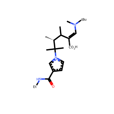 CCNC(=O)c1ccn(C(C)(C)[C@H](C)C(C)/C(=C\N(C)C(C)(C)C)C(=O)O)c1